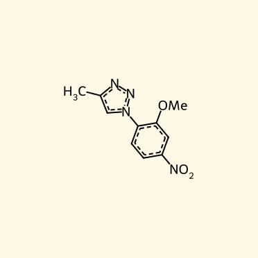 COc1cc([N+](=O)[O-])ccc1-n1cc(C)nn1